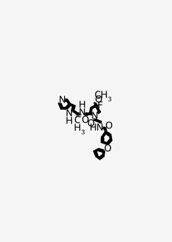 COC[C@@]1(F)CC(C(=O)N[C@H](C)c2cc3cnccc3[nH]2)N(C(=O)CNC(=O)c2ccc(Oc3ccccc3)cc2)C1